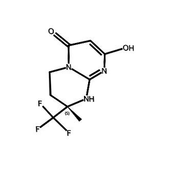 C[C@@]1(C(F)(F)F)CCn2c(nc(O)cc2=O)N1